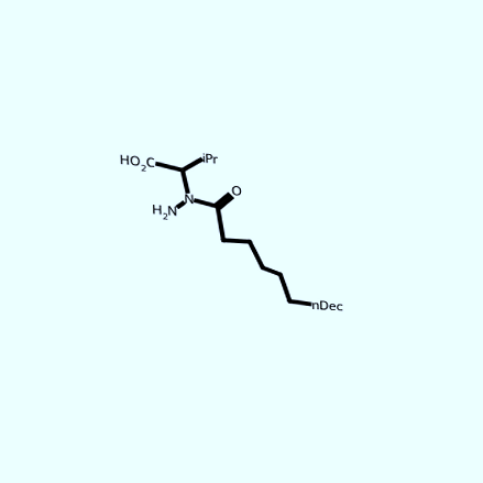 CCCCCCCCCCCCCCCC(=O)N(N)C(C(=O)O)C(C)C